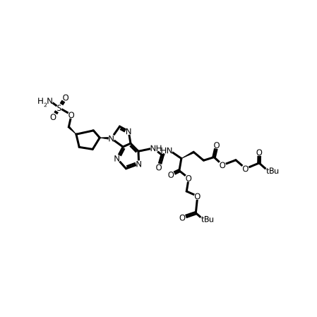 CC(C)(C)C(=O)OCOC(=O)CC[C@H](NC(=O)Nc1ncnc2c1ncn2[C@H]1CC[C@@H](COS(N)(=O)=O)C1)C(=O)OCOC(=O)C(C)(C)C